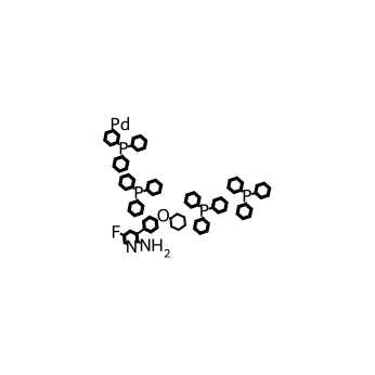 Nc1ncc(F)cc1-c1ccc(OC2CCCCC2)cc1.[Pd].c1ccc(P(c2ccccc2)c2ccccc2)cc1.c1ccc(P(c2ccccc2)c2ccccc2)cc1.c1ccc(P(c2ccccc2)c2ccccc2)cc1.c1ccc(P(c2ccccc2)c2ccccc2)cc1